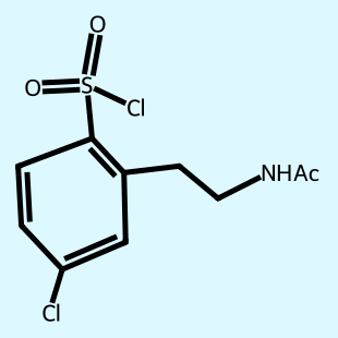 CC(=O)NCCc1cc(Cl)ccc1S(=O)(=O)Cl